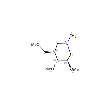 COC[C@H]1CN(C)C[C@@H](OC)[C@@H]1OC